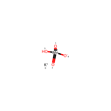 [K+].[O]=[Mn](=[O])([O-])[OH]